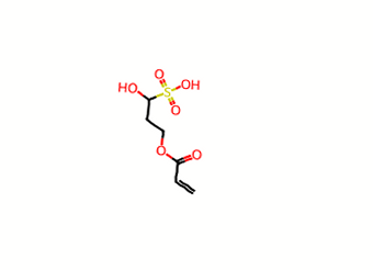 C=CC(=O)OCCC(O)S(=O)(=O)O